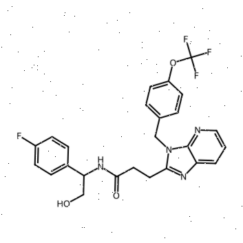 O=C(CCc1nc2cccnc2n1Cc1ccc(OC(F)(F)F)cc1)NC(CO)c1ccc(F)cc1